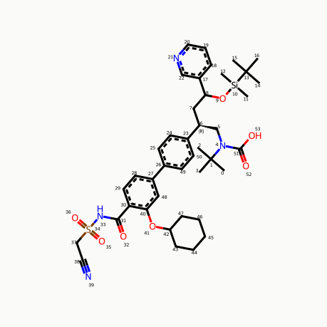 CC(C)(C)N(C[C@H](CC(O[Si](C)(C)C(C)(C)C)c1cccnc1)c1ccc(-c2ccc(C(=O)NS(=O)(=O)CC#N)c(OC3CCCCC3)c2)cc1)C(=O)O